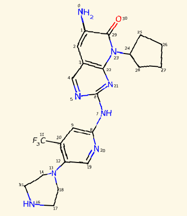 Nc1cc2cnc(Nc3cc(C(F)(F)F)c(N4CCNCC4)cn3)nc2n(C2CCCC2)c1=O